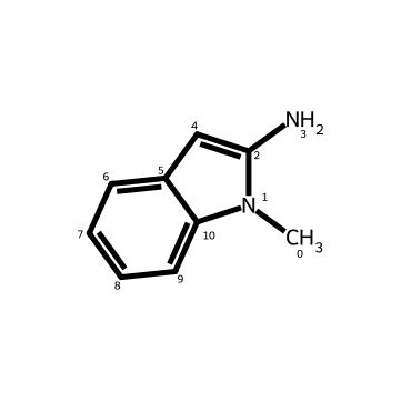 Cn1c(N)cc2ccccc21